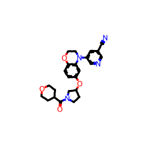 N#Cc1cncc(N2CCOc3ccc(OC4CCN(C(=O)C5CCOCC5)C4)cc32)c1